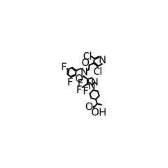 CC(C(=O)O)C1CCC(n2ncc(C(=O)N(CC(=O)c3c(Cl)cncc3Cl)Cc3cc(F)cc(F)c3)c2C(F)(F)F)CC1